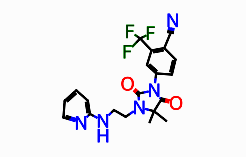 CC1(C)C(=O)N(c2ccc(C#N)c(C(F)(F)F)c2)C(=O)N1CCNc1ccccn1